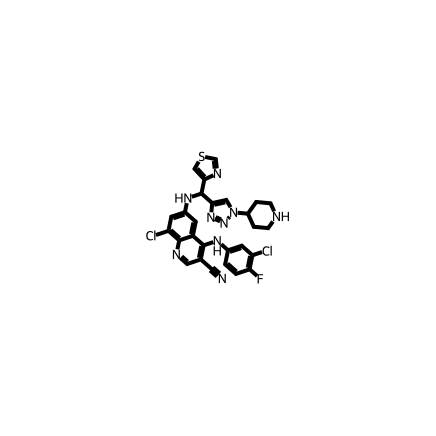 N#Cc1cnc2c(Cl)cc(NC(c3cscn3)c3cn(C4CCNCC4)nn3)cc2c1Nc1ccc(F)c(Cl)c1